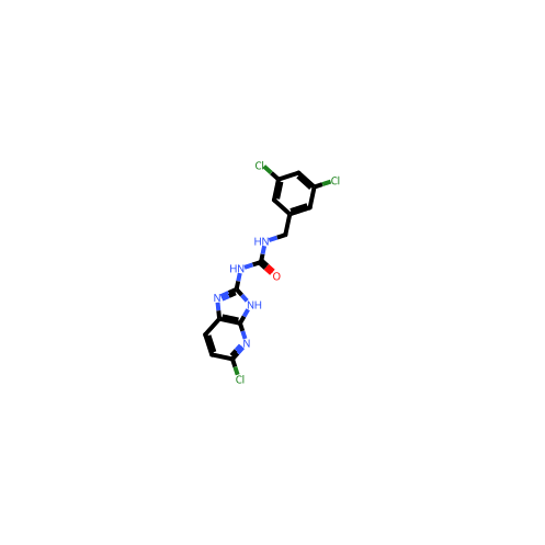 O=C(NCc1cc(Cl)cc(Cl)c1)Nc1nc2ccc(Cl)nc2[nH]1